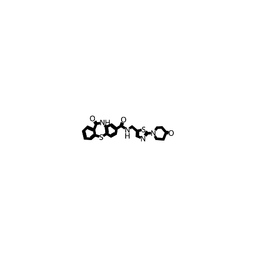 O=C1CCN(c2ncc(CNC(=O)c3ccc4c(c3)NC(=O)c3ccccc3S4)s2)CC1